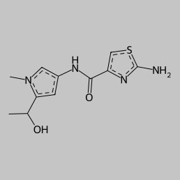 CC(O)c1cc(NC(=O)c2csc(N)n2)cn1C